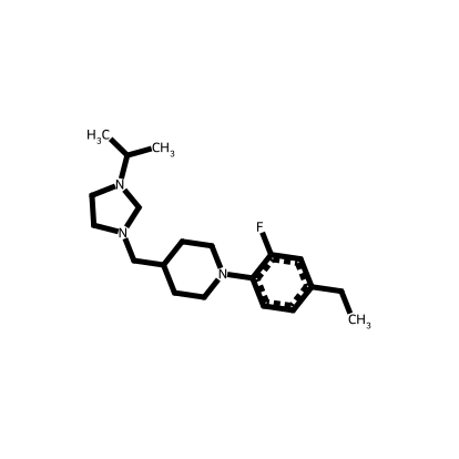 CCc1ccc(N2CCC(CN3CCN(C(C)C)C3)CC2)c(F)c1